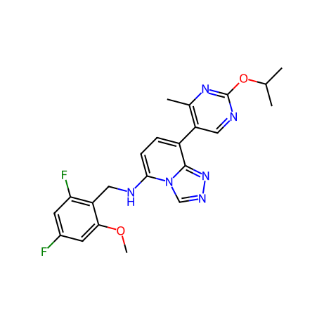 COc1cc(F)cc(F)c1CNc1ccc(-c2cnc(OC(C)C)nc2C)c2nncn12